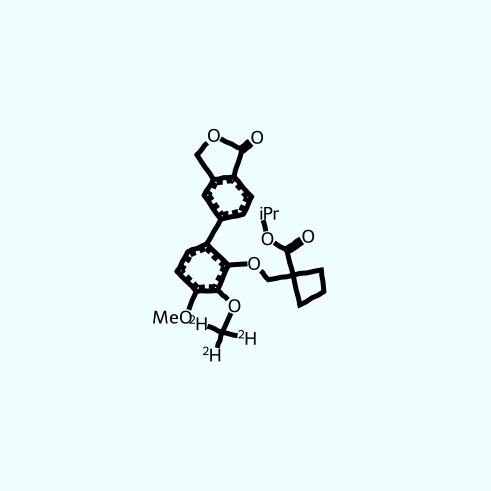 [2H]C([2H])([2H])Oc1c(OC)ccc(-c2ccc3c(c2)COC3=O)c1OCC1(C(=O)OC(C)C)CCC1